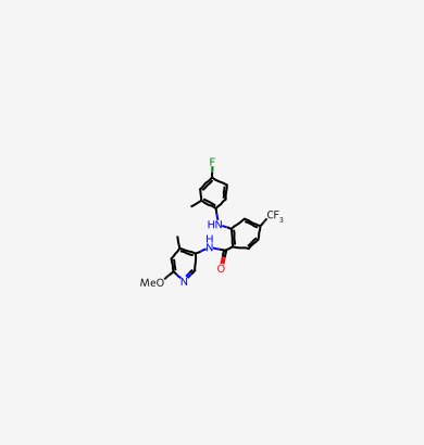 COc1cc(C)c(NC(=O)c2ccc(C(F)(F)F)cc2Nc2ccc(F)cc2C)cn1